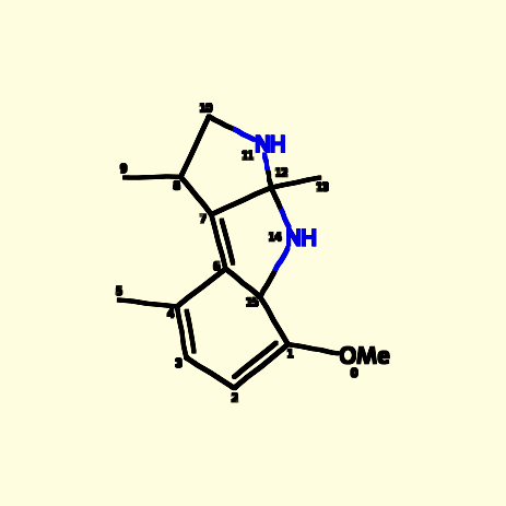 COC1=CC=C(C)C2=C3C(C)CNC3(C)NC12